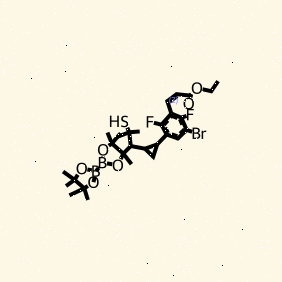 CCOC(=O)/C=C\c1c(F)c(Br)cc(C2CC2C(C(C)(C)S)C2(C)OB(B3OC(C)(C)C(C)(C)O3)OC2(C)C)c1F